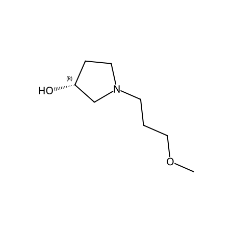 COCCCN1CC[C@@H](O)C1